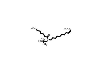 CCCCCCCC/C=C\CCCCCCCCN(CC(C)(C)O)C(=O)CCCCCCCCCCCCCCC